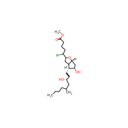 CCCC[C@H](C)C[C@H](O)/C=C/[C@@H]1[C@H]2CC(C(Br)CCCC(=O)OC)O[C@@H]2C[C@H]1O